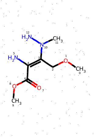 COC/C(=C(/N)C(=O)OC)N(C)N